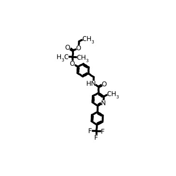 CCOC(=O)C(C)(C)Oc1ccc(CNC(=O)c2ccc(-c3ccc(C(F)(F)F)cc3)nc2C)cc1